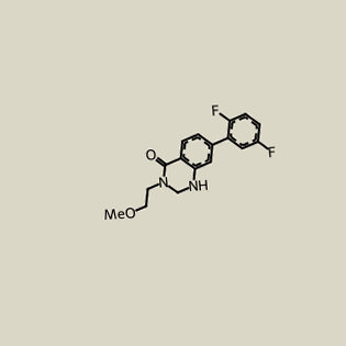 COCCN1CNc2cc(-c3cc(F)ccc3F)ccc2C1=O